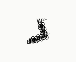 [Bi+3].[Bi+3].[Fe+2].[O]=[Cr](=[O])([O-])[O-].[O]=[Cr](=[O])([O-])[O-].[O]=[Cr](=[O])([O-])[O-].[O]=[Cr](=[O])([O-])[O-].[O]=[Cr](=[O])([O-])[O-].[O]=[W+2]